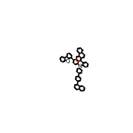 c1ccc(N(c2ccc(-c3ccc(-c4cccc5ccccc45)cc3)cc2)c2ccc(-c3cccc4c3oc3ccccc34)cc2)c(-c2cccc3c2ccc2ccccc23)c1